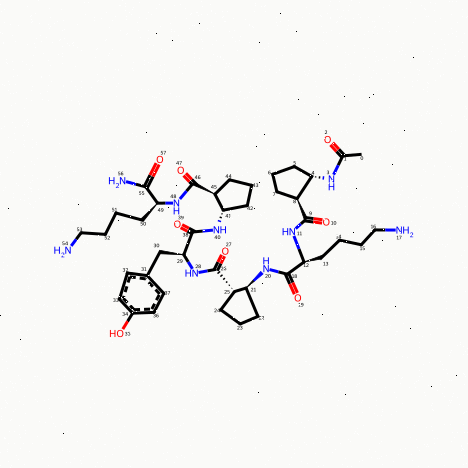 CC(=O)N[C@H]1CCC[C@@H]1C(=O)N[C@@H](CCCCN)C(=O)N[C@H]1CCC[C@@H]1C(=O)N[C@@H](Cc1ccc(O)cc1)C(=O)N[C@H]1CCC[C@@H]1C(=O)N[C@@H](CCCCN)C(N)=O